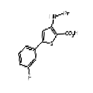 CC(C)Nc1cc(-c2cccc(F)c2)sc1C(=O)O